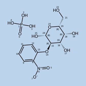 O=P(O)(O)O.O=[N+]([O-])c1ccccc1O[C@@H]1[C@@H](O)[C@@H](O)[C@@H](CO)O[C@H]1O